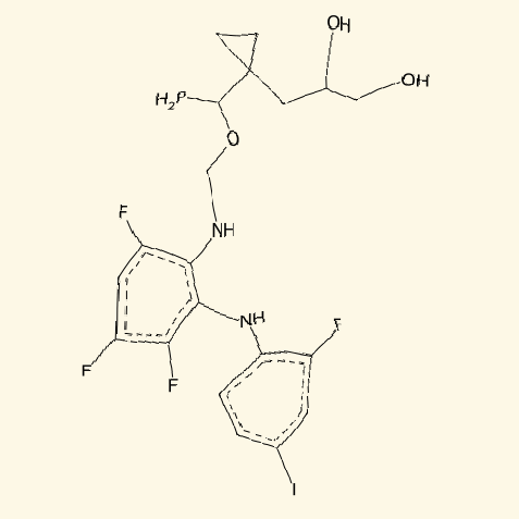 OCC(O)CC1(C(P)OCNc2c(F)cc(F)c(F)c2Nc2ccc(I)cc2F)CC1